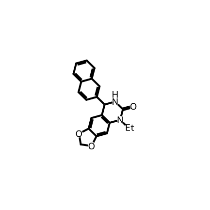 CCN1C(=O)NC(c2ccc3ccccc3c2)c2cc3c(cc21)OCO3